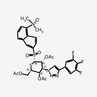 CC(=O)OC[C@H]1S[C@H](S(=O)(=O)c2ccc3c([N+](C)(C)[O-])cccc3c2)[C@H](OC(C)=O)[C@@H](n2cc(-c3cc(F)c(F)c(F)c3)nn2)[C@H]1OC(C)=O